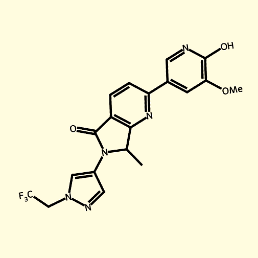 COc1cc(-c2ccc3c(n2)C(C)N(c2cnn(CC(F)(F)F)c2)C3=O)cnc1O